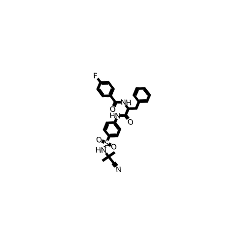 CC(C)(C#N)NS(=O)(=O)c1ccc(NC(=O)C(Cc2ccccc2)NC(=O)c2ccc(F)cc2)cc1